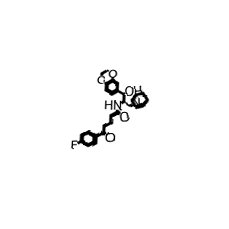 O=C(CCCC(=O)c1ccc(F)cc1)N[C@H](CN1C2CCC1CC2)[C@H](O)c1ccc2c(c1)OCCO2